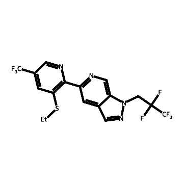 CCSc1cc(C(F)(F)F)cnc1-c1cc2cnn(CC(F)(F)C(F)(F)F)c2cn1